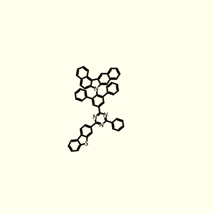 c1ccc(-c2nc(-c3cc(-c4ccccc4)c(-n4c5cc6ccccc6cc5c5c6ccccc6ccc54)c(-c4ccccc4)c3)nc(-c3ccc4c(c3)sc3ccccc34)n2)cc1